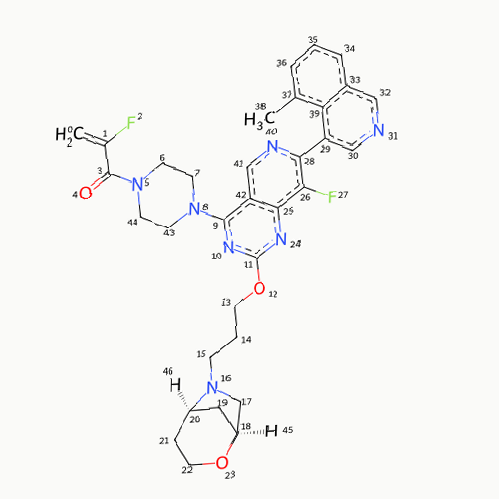 C=C(F)C(=O)N1CCN(c2nc(OCCCN3C[C@@H]4C[C@H]3CCO4)nc3c(F)c(-c4cncc5cccc(C)c45)ncc23)CC1